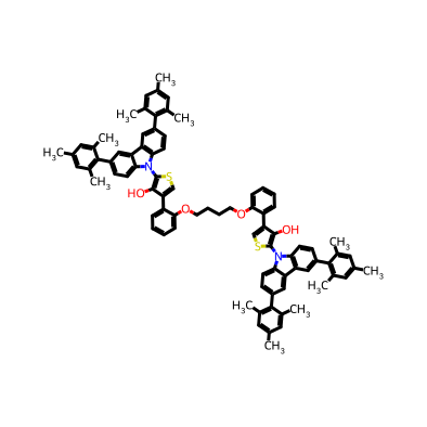 Cc1cc(C)c(-c2ccc3c(c2)c2cc(-c4c(C)cc(C)cc4C)ccc2n3-c2scc(-c3ccccc3OCCCCOc3ccccc3-c3csc(-n4c5ccc(-c6c(C)cc(C)cc6C)cc5c5cc(-c6c(C)cc(C)cc6C)ccc54)c3O)c2O)c(C)c1